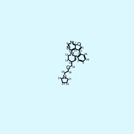 c1ccc(-c2coc3ncnc(N4CCC(COCCN5CCCC5)CC4)c23)cc1